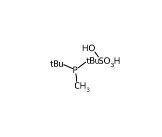 CP(C(C)(C)C)C(C)(C)C.O=S(=O)(O)O